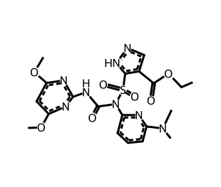 CCOC(=O)c1cn[nH]c1S(=O)(=O)N(C(=O)Nc1nc(OC)cc(OC)n1)c1cccc(N(C)C)n1